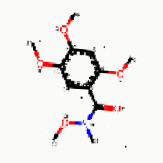 COc1cc(OC)c(C(=O)N(C)OC)cc1OC